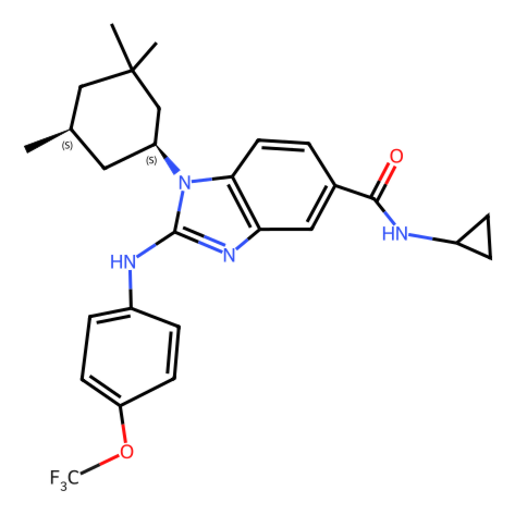 C[C@@H]1C[C@H](n2c(Nc3ccc(OC(F)(F)F)cc3)nc3cc(C(=O)NC4CC4)ccc32)CC(C)(C)C1